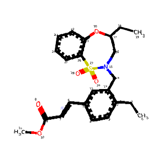 CCc1ccc(/C=C/C(=O)OC)cc1CN1CC(CC)Oc2ccccc2S1(=O)=O